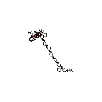 COC(=O)COCCOCCOCCOCCOCCOc1cc(N2C3CCC2CN(c2cc(Cl)nnc2N)C3)ccn1